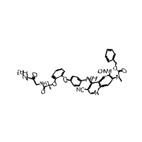 CCNC(=O)CNC(=O)C(C)(C)Oc1ccccc1Oc1ccc(Nc2c(C#N)cnc3cc(N(C)C(=O)OCc4ccccc4)c(OC)cc23)cc1